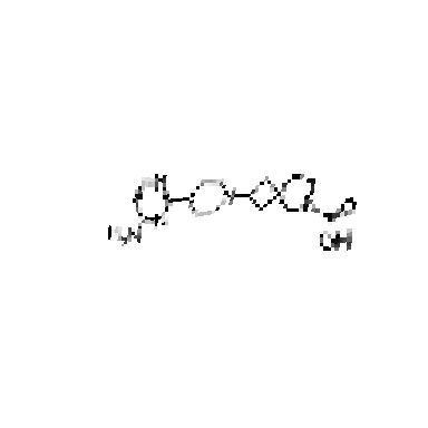 Nc1ccnc(C2CCN(C3CC4(CCN(C(=O)O)C4)C3)CC2)n1